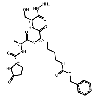 C[C@H](NC(=O)[C@@H]1CCC(=O)N1)C(=O)N[C@@H](CCCCNC(=O)OCc1ccccc1)C(=O)N[C@@H](CO)C(=O)NN